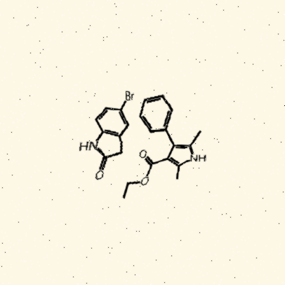 CCOC(=O)c1c(C)[nH]c(C)c1-c1ccccc1.O=C1Cc2cc(Br)ccc2N1